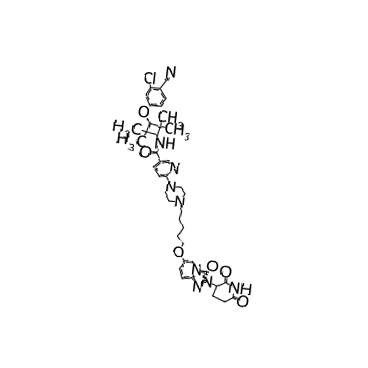 CC1(C)[C@H](NC(=O)c2ccc(N3CCN(CCCCCOc4ccc5nn(C6CCC(=O)NC6=O)c(=O)n5c4)CC3)nc2)C(C)(C)[C@H]1Oc1ccc(C#N)c(Cl)c1